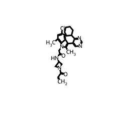 C=CC(=O)N1CC(NC(=O)Cn2c(C)c(-c3cncnc3C3CCCCC3)c3cc(Cl)cc(C)c32)C1